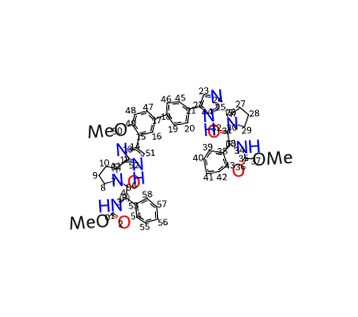 COC(=O)N[C@@H](C(=O)N1CCC[C@H]1c1nc(-c2cc(-c3ccc(-c4cnc([C@@H]5CCCN5C(=O)[C@H](NC(=O)OC)c5ccccc5)[nH]4)cc3)ccc2OC)c[nH]1)c1ccccc1